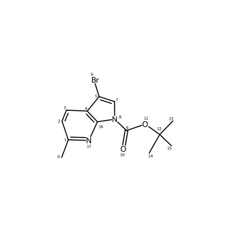 Cc1ccc2c(Br)cn(C(=O)OC(C)(C)C)c2n1